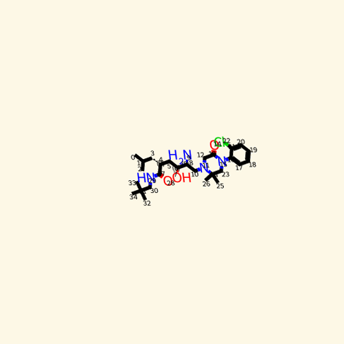 CC(C)C[C@H](C[C@H](O)[C@@H](N)CN1CC(=O)N(c2ccccc2Cl)CC1(C)C)C(=O)NCC(C)(C)C